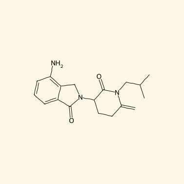 C=C1CCC(N2Cc3c(N)cccc3C2=O)C(=O)N1CC(C)C